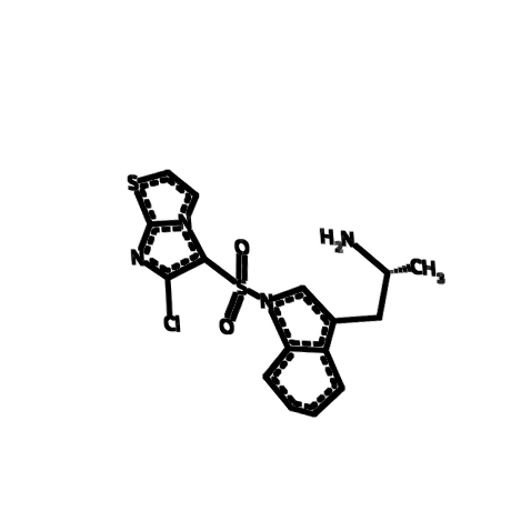 C[C@@H](N)Cc1cn(S(=O)(=O)c2c(Cl)nc3sccn23)c2ccccc12